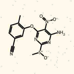 Cc1ccc(C#N)cc1Oc1nc([S+](C)[O-])nc(N)c1[N+](=O)[O-]